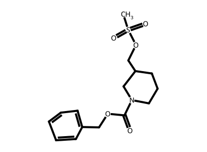 CS(=O)(=O)OCC1CCCN(C(=O)OCc2ccccc2)C1